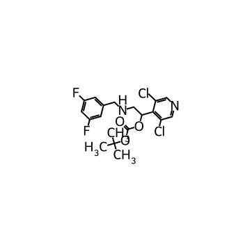 CC(C)(C)OC(=O)OC(CNCc1cc(F)cc(F)c1)c1c(Cl)cncc1Cl